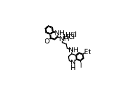 CCc1cc(I)c2c(c1)C(NCCCNc1cc(=O)c3ccccc3[nH]1)CCN2.Cl.Cl